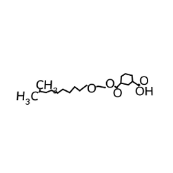 CC(C)CCCCCCCCOCCOC(=O)C1CCCC(C(=O)O)C1